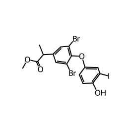 COC(=O)C(C)c1cc(Br)c(Oc2ccc(O)c(I)c2)c(Br)c1